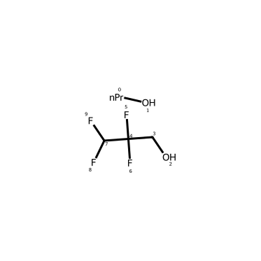 CCCO.OCC(F)(F)C(F)F